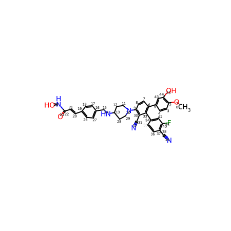 COc1ccc(-c2ccc(N3CCC(NCc4ccc(/C=C/C(=O)NO)cc4)CC3)c(C#N)c2-c2ccc(C#N)c(F)c2)cc1O